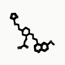 COc1ccc2nccc(CCC[C@@H]3CCN(CCSc4cccs4)C[C@@H]3CCC(=O)O)c2c1